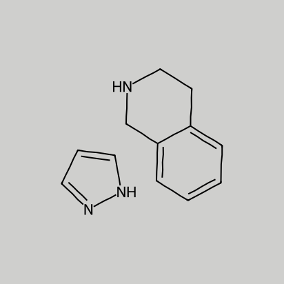 c1ccc2c(c1)CCNC2.c1cn[nH]c1